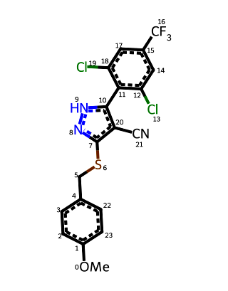 COc1ccc(CSc2n[nH]c(-c3c(Cl)cc(C(F)(F)F)cc3Cl)c2C#N)cc1